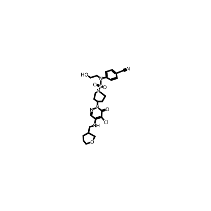 N#Cc1ccc(N(CCO)S(=O)(=O)N2CCC(n3ncc(NCC4CCCOC4)c(Cl)c3=O)CC2)cc1